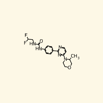 C[C@H]1COCCN1c1ccnc(-c2ccc(NC(=O)NCC(F)F)cc2)n1